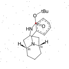 CC(C)(C)OC(=O)NC1C[C@H]2CCC[C@@H](C1)N2Cc1ccccc1